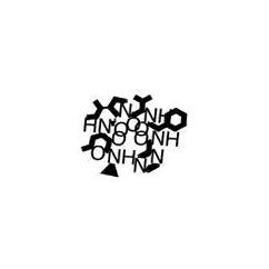 CCCC(NC(=O)[C@@H]1[C@@H](C(C)CC)CCN1C(=O)[C@@H](NC(=O)[C@@H](NC(=O)c1cnccn1)C1CCCCC1)C(C)C)C(=O)C(=O)NC1CC1